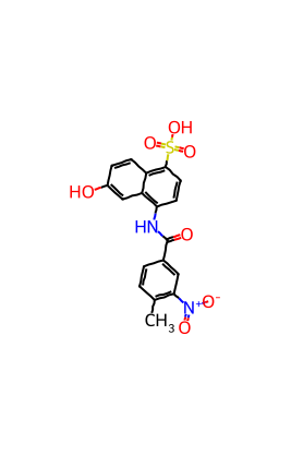 Cc1ccc(C(=O)Nc2ccc(S(=O)(=O)O)c3ccc(O)cc23)cc1[N+](=O)[O-]